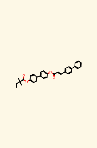 CCC(C)(C)C(=O)Oc1ccc(-c2ccc(OC(=O)/C=C/c3ccc(-c4ccccc4)cc3)cc2)cc1